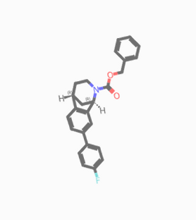 O=C(OCc1ccccc1)N1CC[C@@H]2C[C@@H]1c1cc(-c3ccc(F)cc3)ccc12